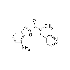 CN(Cc1cccnc1)C(=O)c1cc2cccc(N)c2o1